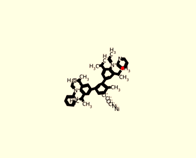 CC=[N+](c1ccccn1)c1c(C(C)C)cc(-c2ccc(C)c(-c3cc(C(C)C)c([N+](=CC)c4ccccn4)c(C(C)C)c3)c2)cc1C(C)C.[Cl-].[Cl-].[Cl-].[Cl-].[Ni].[Ni]